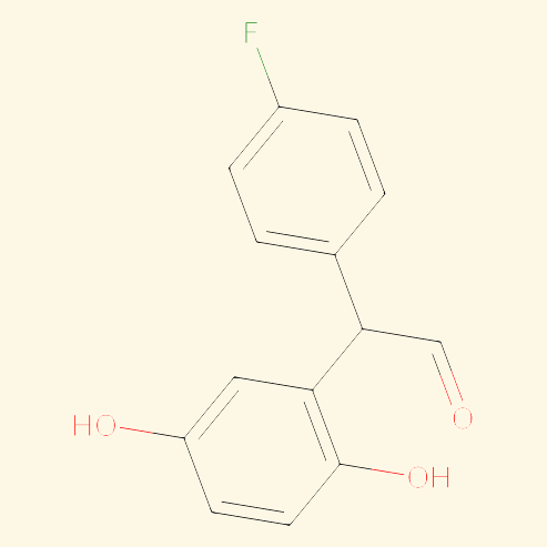 O=CC(c1ccc(F)cc1)c1cc(O)ccc1O